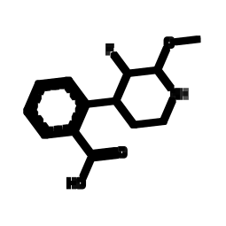 COC1NCCC(c2ccccc2C(=O)O)C1F